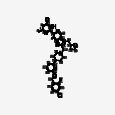 Cc1cc(=O)[nH]c(-c2cc3nc(CN4CCC(c5cccc(OCc6ccc(Cl)cc6F)n5)CC4)n(C[C@@H]4CCO4)c3cn2)n1